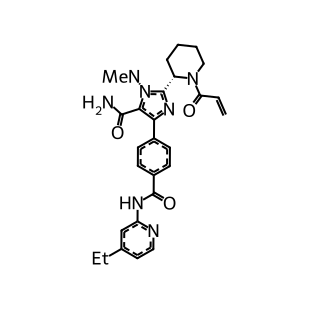 C=CC(=O)N1CCCC[C@H]1c1nc(-c2ccc(C(=O)Nc3cc(CC)ccn3)cc2)c(C(N)=O)n1NC